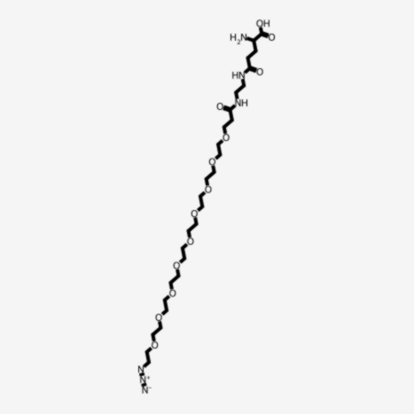 [N-]=[N+]=NCCOCCOCCOCCOCCOCCOCCOCCOCCOCCC(=O)NCCNC(=O)CCC(N)C(=O)O